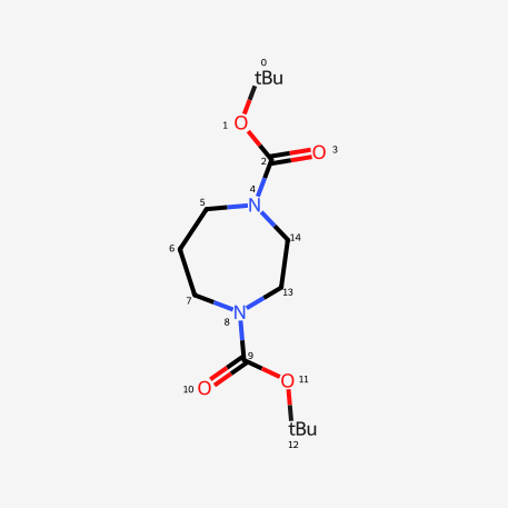 CC(C)(C)OC(=O)N1CCCN(C(=O)OC(C)(C)C)CC1